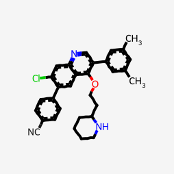 Cc1cc(C)cc(-c2cnc3cc(Cl)c(-c4ccc(C#N)cc4)cc3c2OCCC2CCCCN2)c1